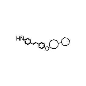 CNc1ccc(/C=C/c2ccc(OC3CCCCC(C4CCCCCCC4)CCC3)cc2)cc1